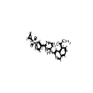 CC(C)c1cccc2cnc(Nc3ccnc(-c4cnn(S(=O)(=O)C5CC5)c4)n3)cc12